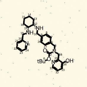 CC(C)(C)OC(=O)N(Cc1ccc(CN[C@H]2CCCC[C@H]2NCc2ccccn2)cc1)Cc1ncccc1O